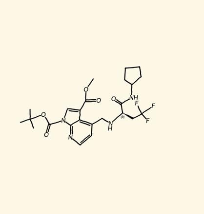 COC(=O)c1cn(C(=O)OC(C)(C)C)c2nccc(CN[C@H](CC(F)(F)F)C(=O)NC3CCCC3)c12